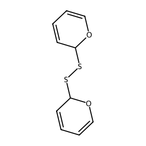 C1=COC(SSC2C=CC=CO2)C=C1